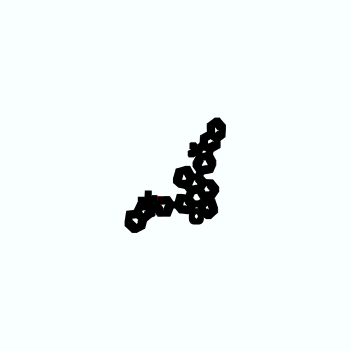 CC1(C)c2cc(-c3c4ccccc4c(-c4cc(-c5ccc(S6(C(C)(C)C)Cc7ccccc7C6)cc5)cc5oc6ccccc6c45)c4ccccc34)ccc2-c2cc3ccccc3cc21